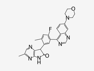 Cc1cnc2c(n1)NC(=O)C2c1cc(-c2ncnc3cc(N4CCOCC4)ccc23)c(F)cc1C